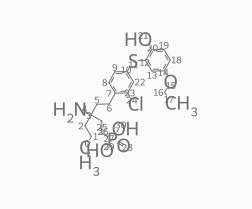 CCC[C@](N)(CCc1ccc(Sc2cc(OCC)ccc2O)cc1Cl)CCP(=O)(O)O